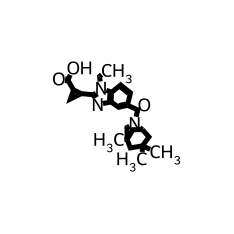 CCn1c(C2CC2C(=O)O)nc2cc(C(=O)N3CC4(C)CC3CC(C)(C)C4)ccc21